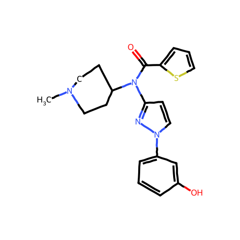 CN1CCC(N(C(=O)c2cccs2)c2ccn(-c3cccc(O)c3)n2)CC1